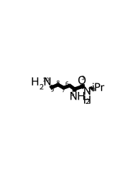 CC(C)NC(=O)C(N)CCCCN